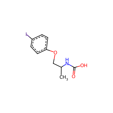 CC(COc1ccc(I)cc1)NC(=O)O